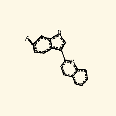 Fc1ccc2c(-c3ccc4ccccc4n3)c[nH]c2c1